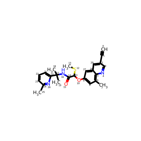 C#Cc1cnc2c(C)cc(OC(SC)C(=O)NC(C)(C)c3cccc(C)n3)cc2c1